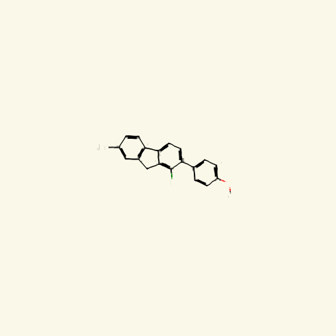 CCCc1ccc2c(c1)Cc1c-2ccc(-c2ccc(OC(F)(F)F)cc2)c1F